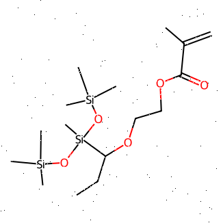 C=C(C)C(=O)OCCOC(CC)[Si](C)(O[Si](C)(C)C)O[Si](C)(C)C